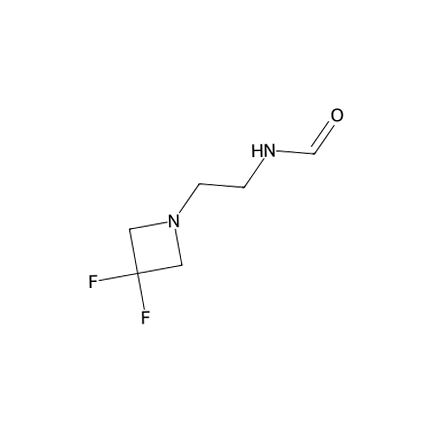 O=CNCCN1CC(F)(F)C1